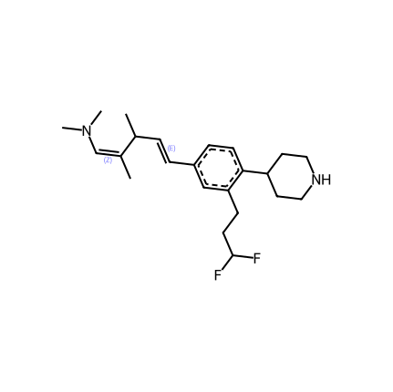 C/C(=C/N(C)C)C(C)/C=C/c1ccc(C2CCNCC2)c(CCC(F)F)c1